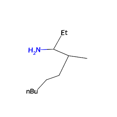 CCCCCCC(C)C(N)CC